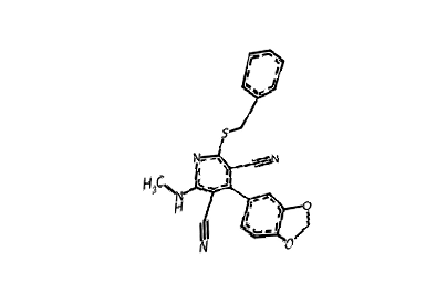 CNc1nc(SCc2ccccc2)c(C#N)c(-c2ccc3c(c2)OCO3)c1C#N